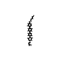 CC=CCOCc1ccc(-c2ccc(-c3ccc([C@H]4CC[C@H](C=CCCC)CC4)cc3)cc2)cc1